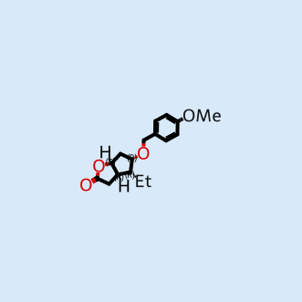 CC[C@@H]1[C@H]2CC(=O)O[C@H]2C[C@H]1OCc1ccc(OC)cc1